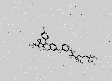 CN(C)CCCN(C)C(=O)Nc1cc(Oc2ccc(N(C(=O)C3(C(N)=O)CC3)c3ccc(F)cc3)c(F)c2)ccn1